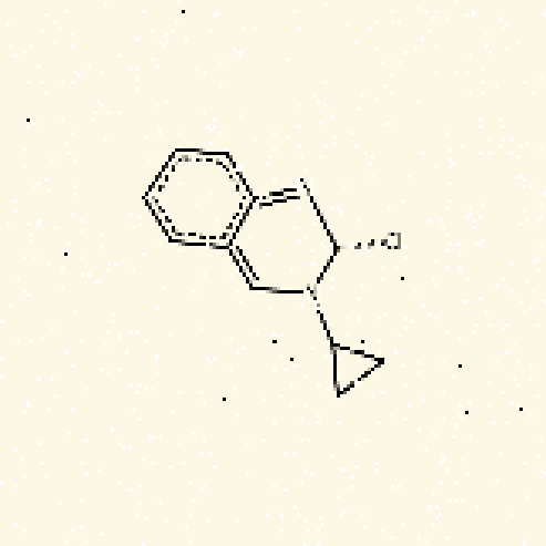 Cl[C@H]1N=c2ccccc2=CN1C1CC1